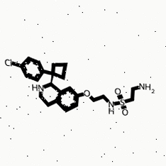 NCCS(=O)(=O)NCCOc1ccc2c(c1)[C@H](C1(c3ccc(Cl)cc3)CCC1)NCC2